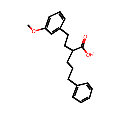 COc1cccc(CCC(CCCc2ccccc2)C(=O)O)c1